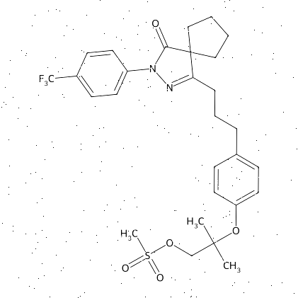 CC(C)(COS(C)(=O)=O)Oc1ccc(CCCC2=NN(c3ccc(C(F)(F)F)cc3)C(=O)C23CCCC3)cc1